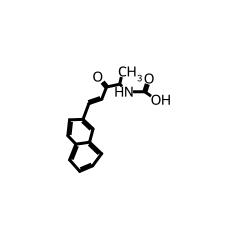 CC(NC(=O)O)C(=O)C=Cc1ccc2ccccc2c1